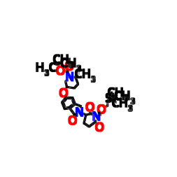 C[C@@H]1CC[C@@H](Oc2ccc3c(c2)CN(C2CCC(=O)N(COCC[Si](C)(C)C)C2=O)C3=O)CN1C(=O)OC(C)(C)C